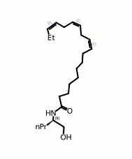 CC/C=C\C/C=C\C/C=C\CCCCCCCC(=O)N[C@@H](CO)CCC